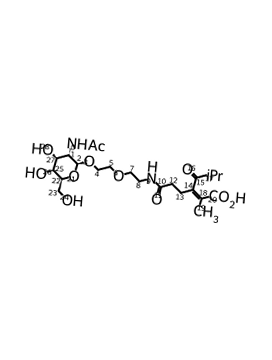 CC(=O)N[C@@H]1[C@@H](OCCOCCNC(=O)CC/C(C(=O)C(C)C)=C(\C)C(=O)O)O[C@@H](CO)[C@@H](O)[C@H]1O